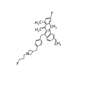 C=Cc1ccc2c(Cc3ccc(CC4CN(CCCF)C4)cc3)c(C(=C)c3c(C)cc(F)cc3C)sc2c1